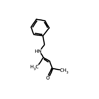 CC(=O)C=C(C)NCc1ccccc1